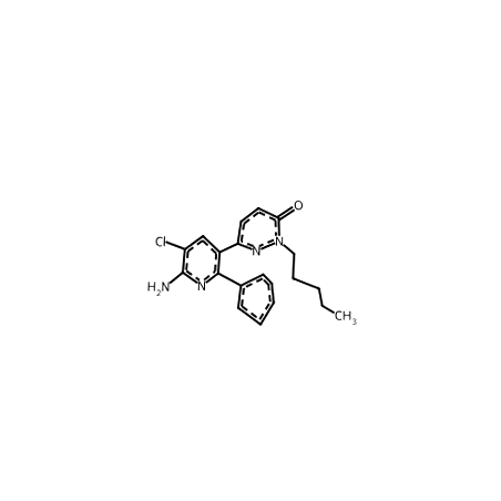 CCCCCn1nc(-c2cc(Cl)c(N)nc2-c2ccccc2)ccc1=O